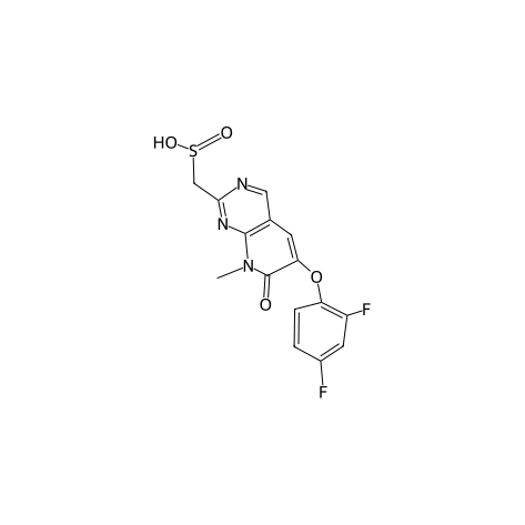 Cn1c(=O)c(Oc2ccc(F)cc2F)cc2cnc(CS(=O)O)nc21